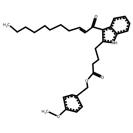 CCCCCCCC/C=C/C(=O)c1c(CCCC(=O)OCc2ccc(OC)cc2)[nH]c2ccccc12